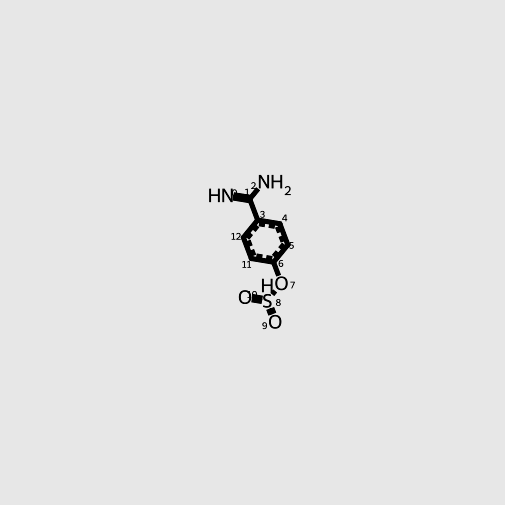 N=C(N)c1ccc(O[SH](=O)=O)cc1